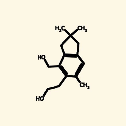 Cc1cc2c(c(CO)c1CCO)CC(C)(C)C2